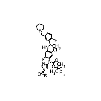 CC(Nc1cc(F)c(N(C(=O)OC(C)(C)C)C2=C[S@](=S(=O)=O)C=N2)cc1Cl)c1cc(CN2CCCCC2)ccc1F